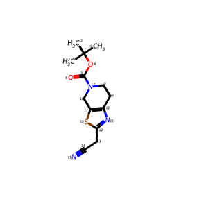 CC(C)(C)OC(=O)N1CCc2nc(CC#N)sc2C1